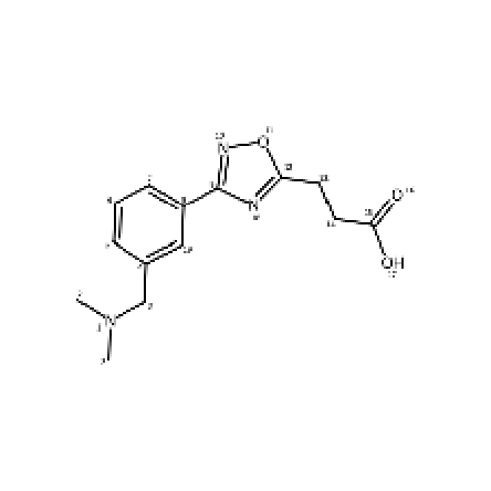 CN(C)Cc1cccc(-c2noc(CCC(=O)O)n2)c1